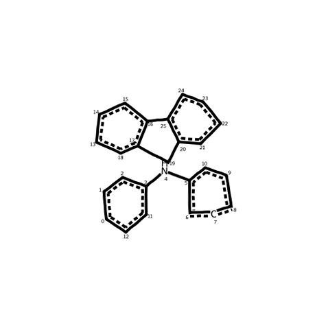 c1ccc(Nc2ccccc2)cc1.c1ccc2c(c1)Cc1ccccc1-2